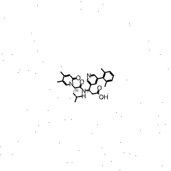 Cc1cc(=O)n([C@@H](CC(C)C)C(=O)N[C@H](CC(=O)O)c2cncc(-c3c(C)cccc3C)c2)cc1C